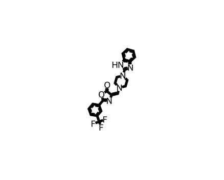 O=C1OC(c2cccc(C(F)(F)F)c2)=N/C1=C/N1CCN(c2nc3ccccc3[nH]2)CC1